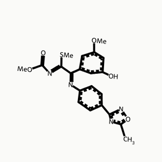 COC(=O)/N=C(SC)/C(=N/c1ccc(-c2noc(C)n2)cc1)c1cc(O)cc(OC)c1